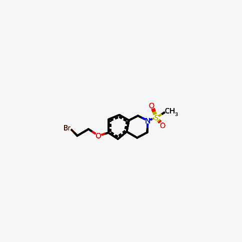 CS(=O)(=O)N1CCc2cc(OCCBr)ccc2C1